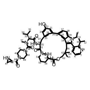 CCn1c(-c2cccnc2C(C)C)c2c3cc(ccc31)-c1cc(O)cc(c1)C[C@H](NC(=O)[C@H](C(C)C)N(C)C(=O)N1CCN(C(=O)[C@@H]3CN3)CC1)C(=O)N1CCC[C@H](N1)C(=O)OCC(C)(C)C2